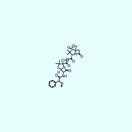 C=NC(C(=O)N[C@@H]1C(=O)N2[C@@H]1SC(C)(C)[C@]2(C=O)C(=O)OC(=O)[C@@H]1N2C(=O)C[C@H]2S(=O)(=O)C1(C)C)c1ccccc1